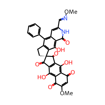 CON=Cc1cc2c(-c3ccccc3)c3c(c(O)c2c(=O)[nH]1)[C@@]1(CC3)C(=O)c2c(O)c3c(c(O)c2C1=O)C(=O)C(OC)=CC3=O